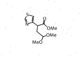 COC(=O)C(CC(OC)OC)c1cscn1